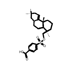 C[C@]1(I)CC=C2C(CCC3[C@](C)(COS(=O)(=O)c4ccc(C(=O)O)cc4)CCC[C@@]23C)C1